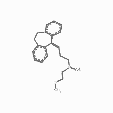 COCCN(C)CCC=C1c2ccccc2CCc2ccccc21